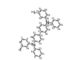 Ic1cccc(N(c2ccccc2)c2ccc(-c3ccc(N(c4ccccc4)c4cccc(I)c4)cc3)cc2)c1